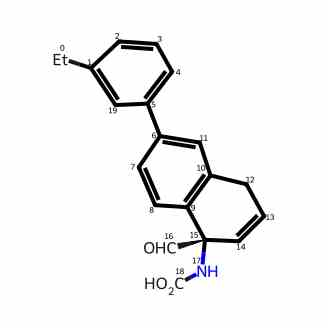 CCc1cccc(-c2ccc3c(c2)CC=C[C@]3(C=O)NC(=O)O)c1